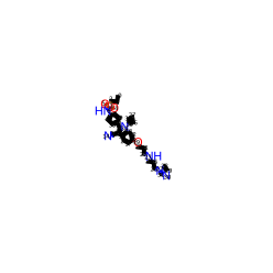 CCCS(=O)(=O)Nc1ccc(-c2c(C#N)c3ccc(OCCCNCCCn4ccnc4)cc3n2C2CCC2)cc1